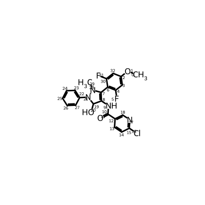 COc1cc(F)c(C2=C(NC(=O)c3ccc(Cl)nc3)C(O)N(c3ccccc3)N2C)c(F)c1